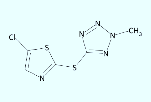 Cn1nnc(Sc2ncc(Cl)s2)n1